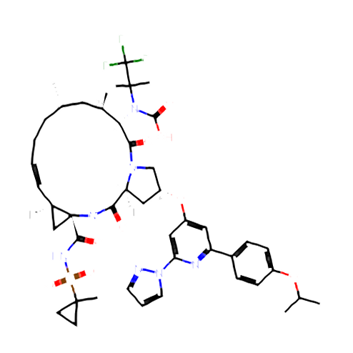 CC(C)Oc1ccc(-c2cc(O[C@@H]3C[C@H]4C(=O)N[C@]5(C(=O)NS(=O)(=O)C6(C)CC6)C[C@H]5C=CCC[C@H](C)C[C@@H](C)[C@H](N(C(=O)O)C(C)(C)C(F)(F)F)C(=O)N4C3)cc(-n3cccn3)n2)cc1